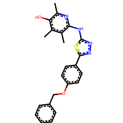 Cc1nc(Nc2nnc(-c3ccc(OCc4ccccc4)cc3)s2)c(C)c(C)c1O